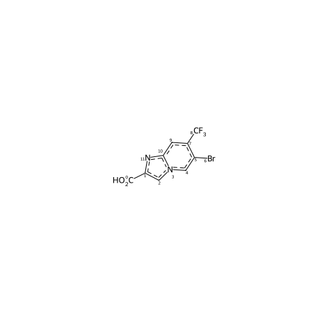 O=C(O)c1cn2cc(Br)c(C(F)(F)F)cc2n1